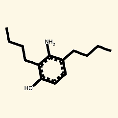 CCCCc1ccc(O)c(CCCC)c1N